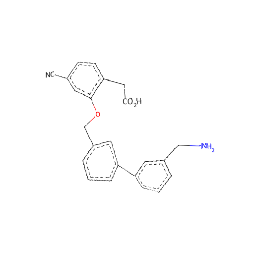 N#Cc1ccc(CC(=O)O)c(OCc2cccc(-c3cccc(CN)c3)c2)c1